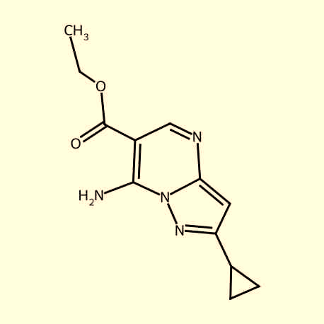 CCOC(=O)c1cnc2cc(C3CC3)nn2c1N